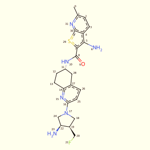 Cc1ccc2c(N)c(C(=O)N[C@H]3CCc4nc(N5C[C@@H](CF)[C@@H](N)C5)ccc4C3)sc2n1